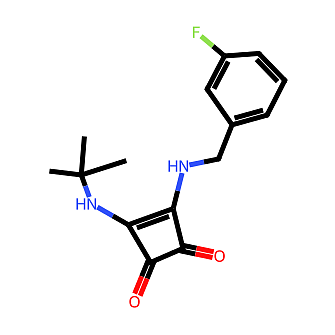 CC(C)(C)Nc1c(NCc2cccc(F)c2)c(=O)c1=O